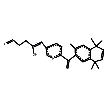 C=C(c1ccc(/C=C(\O)CCC=O)cn1)c1cc2c(cc1C)C(C)(C)C=CC2(C)C